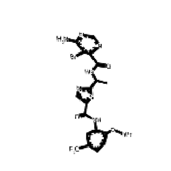 CCCOc1ccc(C(F)(F)F)cc1NC(=O)c1cnc(C(C)NC(=O)c2ncnc(N)c2Br)s1